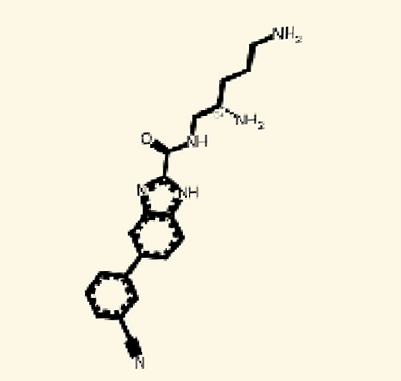 N#Cc1cccc(-c2ccc3[nH]c(C(=O)NC[C@@H](N)CCCN)nc3c2)c1